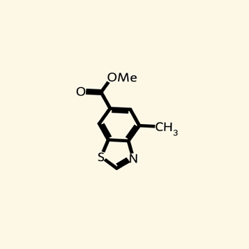 COC(=O)c1cc(C)c2ncsc2c1